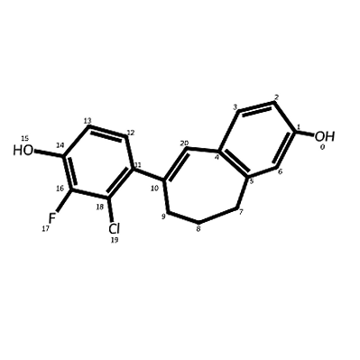 Oc1ccc2c(c1)CCCC(c1ccc(O)c(F)c1Cl)=C2